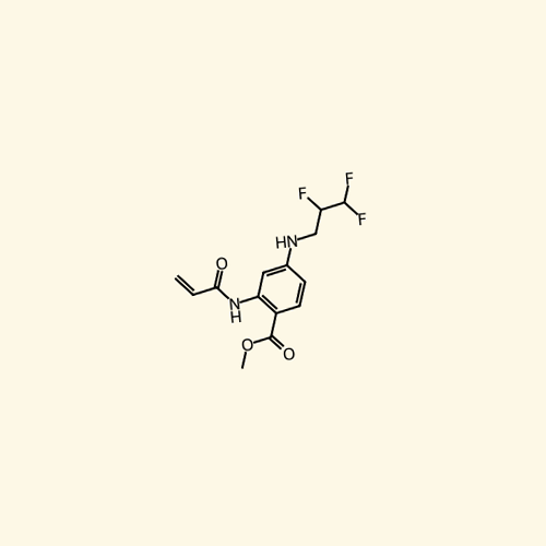 C=CC(=O)Nc1cc(NCC(F)C(F)F)ccc1C(=O)OC